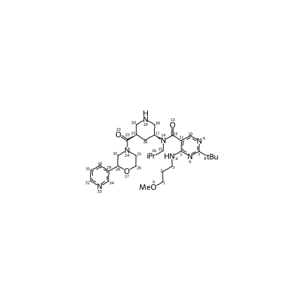 COCCCNc1nc(C(C)(C)C)ncc1C(=O)N(CC(C)C)[C@@H]1CNC[C@H](C(=O)N2CCOC(c3cccnc3)C2)C1